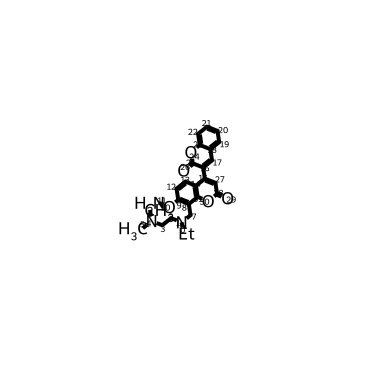 CCN(CCN(C)C)Cc1c(ON)ccc2c(-c3cc4ccccc4oc3=O)cc(=O)oc12